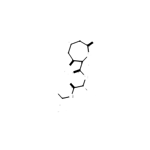 C[C@H](NC(=O)[C@H](C)NC(=O)[C@]1(C)NC(=O)CCCC1=O)C(=O)O